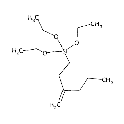 C=C(CCC)CC[Si](OCC)(OCC)OCC